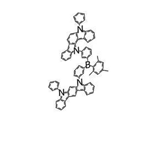 Cc1cc(C)c(B(c2cccc(-n3c4ccccc4c4cc5c6ccccc6n(-c6ccccc6)c5cc43)c2)c2cccc(-n3c4ccccc4c4ccc5c(c6ccccc6n5-c5ccccc5)c43)c2)c(C)c1